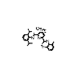 CC(=Nc1c(C)cccc1Br)c1cccc(C(C)=Nc2c(C(C)C)cccc2C(C)C)n1.[Cl][Fe][Cl]